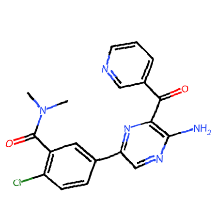 CN(C)C(=O)c1cc(-c2cnc(N)c(C(=O)c3cccnc3)n2)ccc1Cl